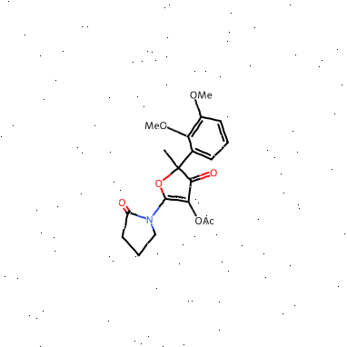 COc1cccc(C2(C)OC(N3CCCC3=O)=C(OC(C)=O)C2=O)c1OC